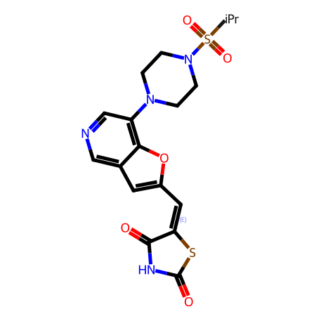 CC(C)S(=O)(=O)N1CCN(c2cncc3cc(/C=C4/SC(=O)NC4=O)oc23)CC1